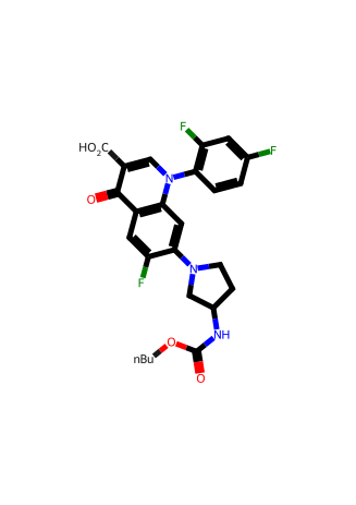 CCCCOC(=O)NC1CCN(c2cc3c(cc2F)c(=O)c(C(=O)O)cn3-c2ccc(F)cc2F)C1